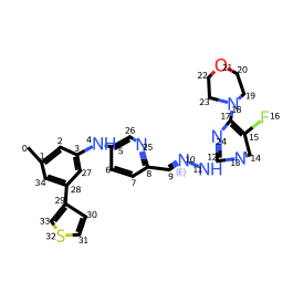 Cc1cc(Nc2ccc(/C=N/Nc3ncc(F)c(N4CCOCC4)n3)nc2)cc(-c2ccsc2)c1